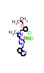 Cc1cc(N2CCN(Cc3cccc4cccnc34)CC2=O)nn1Cc1cc(Cl)ccc1OCC(C)C.Cl.Cl